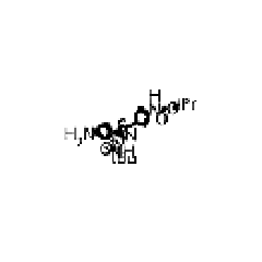 CC(C)OCC(=O)Nc1ccc(-c2ncc(-c3ccc(N)cc3S(=O)(=O)NC(C)(C)C)s2)cc1